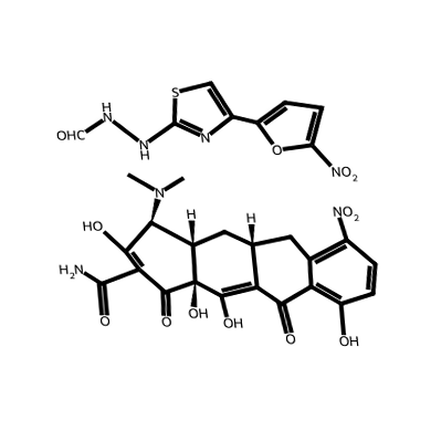 CN(C)[C@@H]1C(O)=C(C(N)=O)C(=O)[C@@]2(O)C(O)=C3C(=O)c4c(O)ccc([N+](=O)[O-])c4C[C@H]3C[C@@H]12.O=CNNc1nc(-c2ccc([N+](=O)[O-])o2)cs1